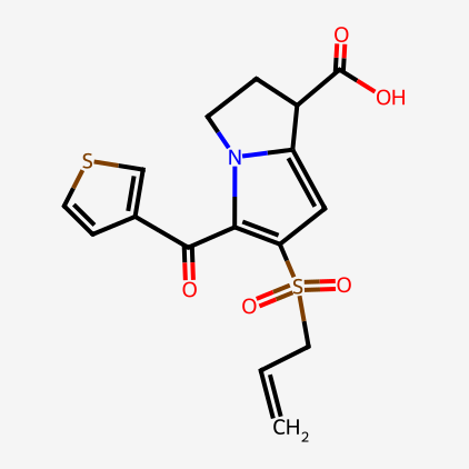 C=CCS(=O)(=O)c1cc2n(c1C(=O)c1ccsc1)CCC2C(=O)O